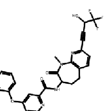 CN1C(=O)C(NC(=O)c2cc(Oc3ccccc3)ccn2)CCc2ccc(C#CC(O)C(F)(F)F)nc21